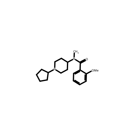 COc1ccccc1C(=O)N(C)C1CCN(C2CCCC2)CC1